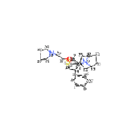 c1ccc(-c2cscc2N2C3CCC2CC(COCCN2CCCC2)C3)cc1